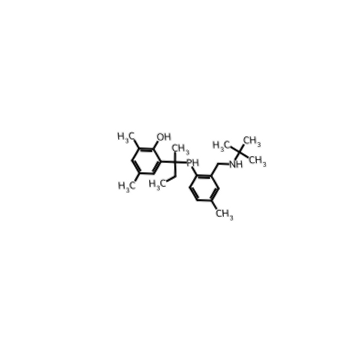 CCC(C)(Pc1ccc(C)cc1CNC(C)(C)C)c1cc(C)cc(C)c1O